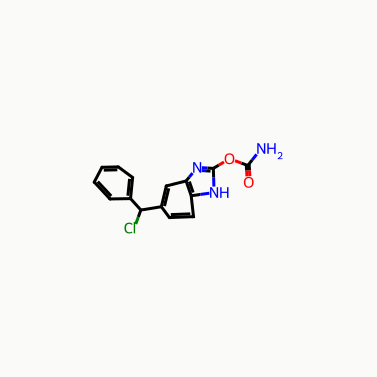 NC(=O)Oc1nc2cc(C(Cl)c3ccccc3)ccc2[nH]1